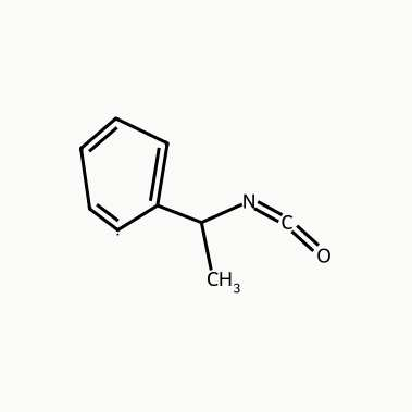 CC(N=C=O)c1[c]cccc1